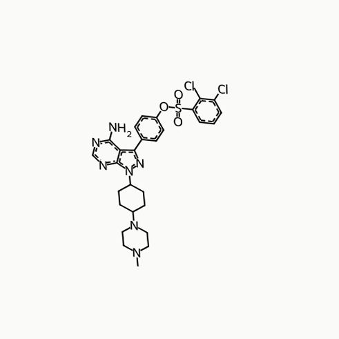 CN1CCN(C2CCC(n3nc(-c4ccc(OS(=O)(=O)c5cccc(Cl)c5Cl)cc4)c4c(N)ncnc43)CC2)CC1